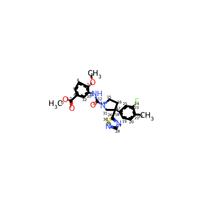 COC(=O)c1ccc(OC)c(NC(=O)N2CC[C@](c3ccc(C)c(F)c3)(c3ncns3)C2)c1